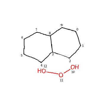 C1CCC2CCCCC2C1.OOO